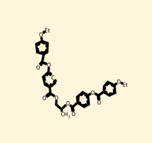 CCOc1ccc(C(=O)Oc2ccc(C(=O)OCC(C)OC(=O)c3ccc(OC(=O)c4ccc(OCC)cc4)cc3)cc2)cc1